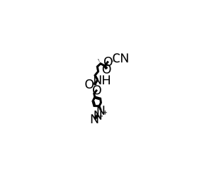 C[C@@H](CCCNC(=O)OCC1=CCC(N=[N+]=[N-])C=C1)C(=O)OCC#N